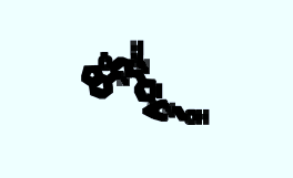 COc1cc2[nH]nc(-c3ccc([C@]45CC4CN(CCO)C5)nc3)c2nc1-c1cccc2c1CCC2